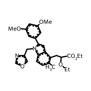 CCOC(=O)C(Cc1c(C)ccc2c1cc(-c1cc(OC)cc(OC)c1)n2Cc1cocn1)OCC